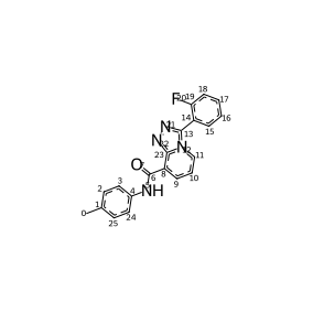 Cc1ccc(NC(=O)c2cccn3c(-c4ccccc4F)nnc23)cc1